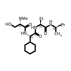 CC[C@H](NC(=O)[C@@H](NC(=O)[C@H](CO)NC)C1CCCCC1)C(=O)N[C@H](C)C(C)C